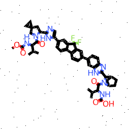 COC(=O)NC(C(=O)N1CC2(CC2)CC1c1ncc(-c2ccc3c(c2)C(F)(F)c2cc(-c4ccc5nc(C6C7CCC(C7)N6C(=O)C(NC(=O)O)C(C)C)[nH]c5c4)ccc2-3)[nH]1)C(C)C